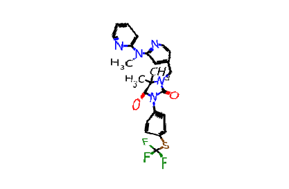 CN(c1ccccn1)c1cc(CN2C(=O)N(c3ccc(SC(F)(F)F)cc3)C(=O)C2(C)C)ccn1